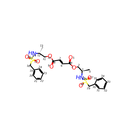 C[C@H](COC(=O)/C=C/C(=O)OC[C@@H](C)NS(=O)(=O)Cc1ccccc1)NS(=O)(=O)Cc1ccccc1